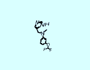 CN(Cc1cnc[nH]1)c1cccc(OC(F)F)c1